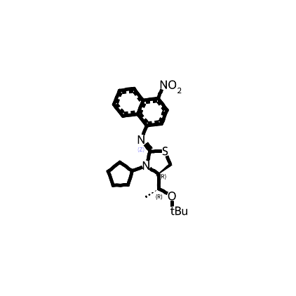 C[C@@H](OC(C)(C)C)[C@@H]1CS/C(=N\c2ccc([N+](=O)[O-])c3ccccc23)N1C1CCCC1